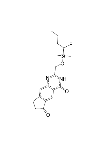 CCCC(F)[Si](C)(C)OCc1nc2cc3c(cc2c(=O)[nH]1)C(=O)CC3